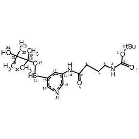 CC(C)(C)OC(=O)NCCCC(=O)Nc1cncc(BOC(C)(C)C(C)(C)O)c1